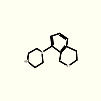 c1cc2c(c(N3CCNCC3)c1)COCC2